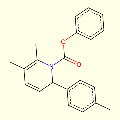 CC1=C(C)N(C(=O)Oc2ccccc2)C(c2ccc(C)cc2)C=C1